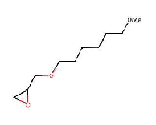 COCCCCCCOCC1CO1